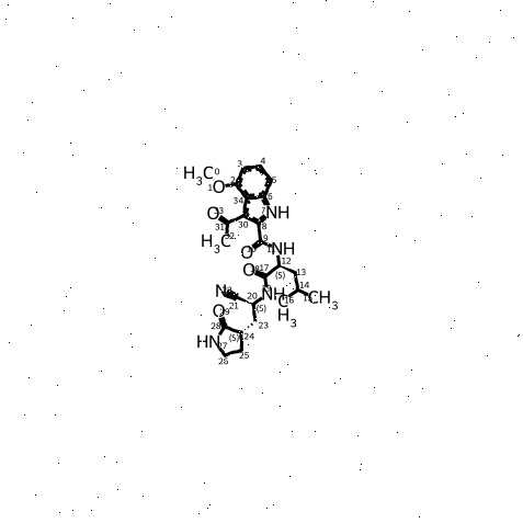 COc1cccc2[nH]c(C(=O)N[C@@H](CC(C)C)C(=O)N[C@H](C#N)C[C@@H]3CCNC3=O)c(C(C)=O)c12